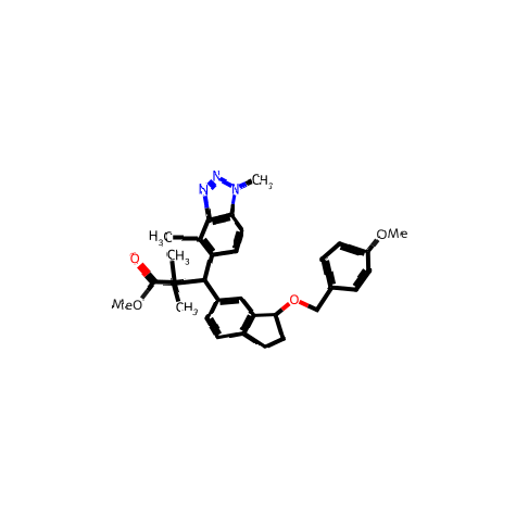 COC(=O)C(C)(C)C(c1ccc2c(c1)C(OCc1ccc(OC)cc1)CC2)c1ccc2c(nnn2C)c1C